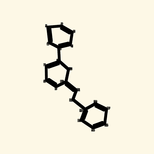 [c]1ccccc1C1=CC=CC(=CCc2ccccc2)[CH]1